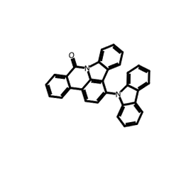 O=c1c2ccccc2c2ccc(-n3c4ccccc4c4ccccc43)c3c4ccccc4n1c23